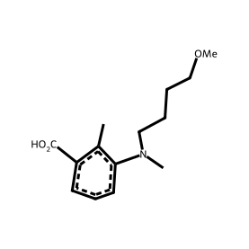 COCCCCN(C)c1cccc(C(=O)O)c1C